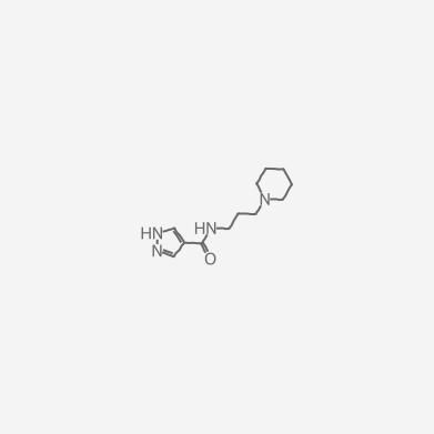 O=C(NCCCN1CCCCC1)c1cn[nH]c1